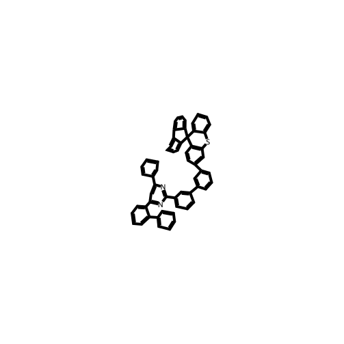 c1ccc(-c2cc(-c3ccccc3-c3ccccc3)nc(-c3cccc(-c4cccc(-c5ccc6c(c5)Sc5ccccc5C65c6ccccc6-c6ccccc65)c4)c3)n2)cc1